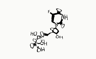 O=c1[nH]c(=O)n([C@H]2C[C@H](O)[C@@H](COP(=O)(O)OP(=O)(O)O)O2)cc1F